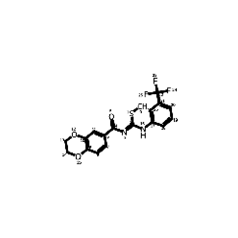 CS/C(=N\C(=O)c1ccc2c(c1)OCCO2)Nc1cccc(C(F)(F)F)c1